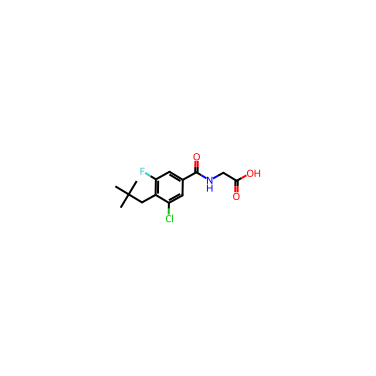 CC(C)(C)Cc1c(F)cc(C(=O)NCC(=O)O)cc1Cl